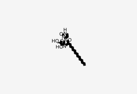 CCCCCCCCCCCCCCC(C#N)C(=O)N(c1cc[nH]c(=O)n1)[C@H]1C[C@H](O)[C@@H](CO)O1